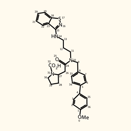 COc1ccc(-c2ccc(CN(CCCNc3nsc4ccccc34)C(=O)CC3CCCN3C(=O)O)cc2)cc1